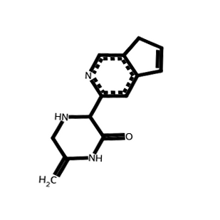 C=C1CNC(c2cc3c(cn2)CC=C3)C(=O)N1